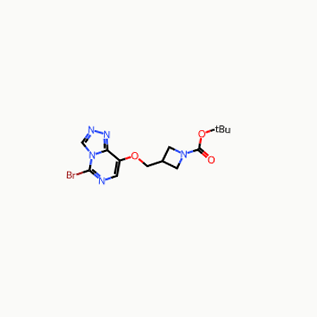 CC(C)(C)OC(=O)N1CC(COc2cnc(Br)n3cnnc23)C1